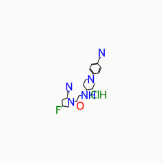 Cl.N#Cc1ccc(N2CCC(NCC(=O)N3C[C@@H](F)C[C@H]3C#N)CC2)cc1